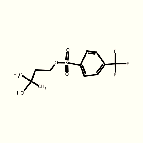 CC(C)(O)CCOS(=O)(=O)c1ccc(C(F)(F)F)cc1